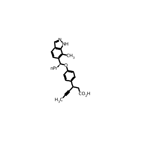 CC#CC(CC(=O)O)c1ccc(O[C@@H](CCC)c2ccc3cn[nH]c3c2C)cc1